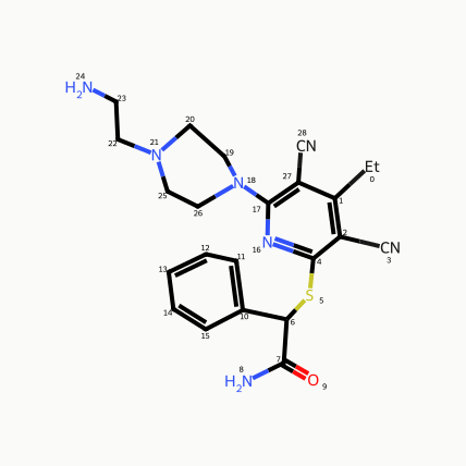 CCc1c(C#N)c(SC(C(N)=O)c2ccccc2)nc(N2CCN(CCN)CC2)c1C#N